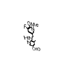 COc1ncc(CNc2ncc(C=O)cc2C)cc1F